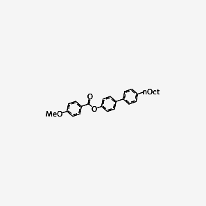 CCCCCCCCc1ccc(-c2ccc(OC(=O)c3ccc(OC)cc3)cc2)cc1